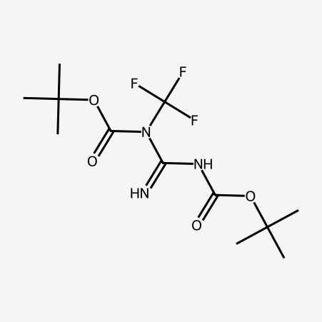 CC(C)(C)OC(=O)NC(=N)N(C(=O)OC(C)(C)C)C(F)(F)F